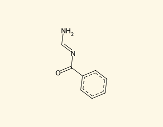 NC=NC(=O)c1ccccc1